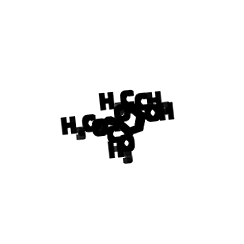 COCC1(C)OC(C)(C)C(O)=CC1=O